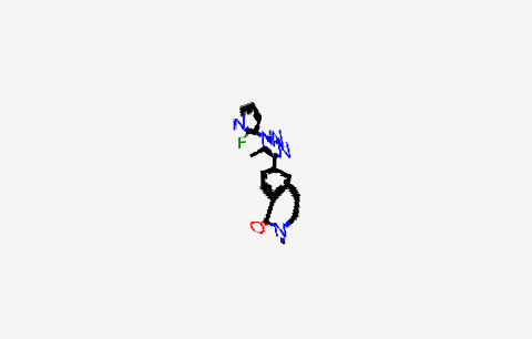 Cc1c(-c2ccc3c(c2)CCN(C)C3=O)nnn1-c1cccnc1F